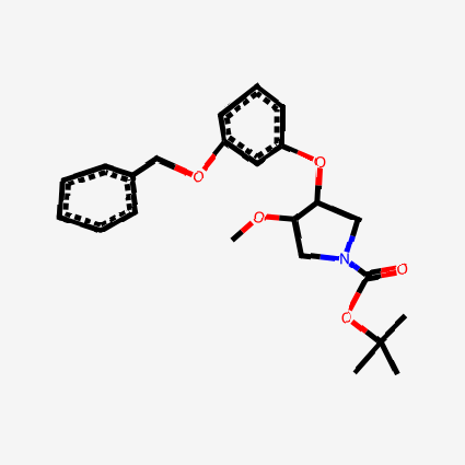 COC1CN(C(=O)OC(C)(C)C)CC1Oc1cccc(OCc2ccccc2)c1